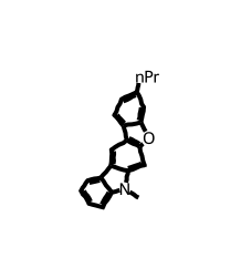 CCCc1ccc2c(c1)oc1cc3c(cc12)c1ccccc1n3C